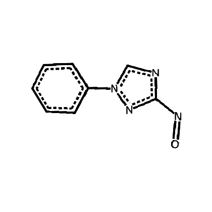 O=Nc1ncn(-c2ccccc2)n1